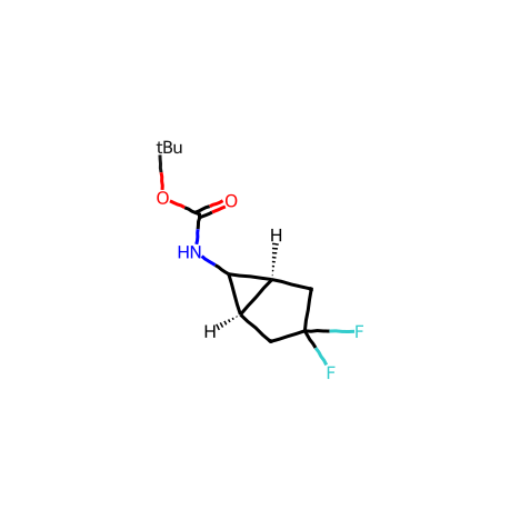 CC(C)(C)OC(=O)NC1[C@H]2CC(F)(F)C[C@@H]12